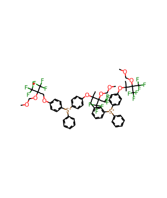 COCOC(COc1ccc([S+](c2ccccc2)c2ccc(OC(C)(Cc3cccc([S+](c4ccccc4)c4ccc(OC(C)(C)C(OCOC)(C(F)(F)F)C(F)(F)F)cc4)c3)C(OCOC)(C(F)(F)F)C(F)(F)F)cc2)cc1)(C(F)(F)F)C(F)(F)F